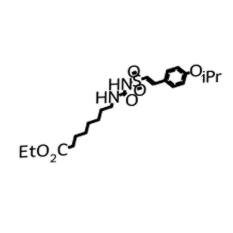 CCOC(=O)CCCCCCCNC(=O)NS(=O)(=O)/C=C/c1ccc(OC(C)C)cc1